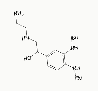 CCC(C)Nc1ccc(C(O)CNCCN)cc1NC(C)CC